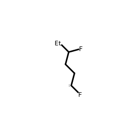 CCC(F)CC[C]F